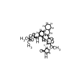 COC(=O)[C@H](C[C@@H]1CCNC1=O)NC(=O)[C@H](CC1CCCCC1)n1cccc(NC(=O)OC(C)(C)C)c1=O